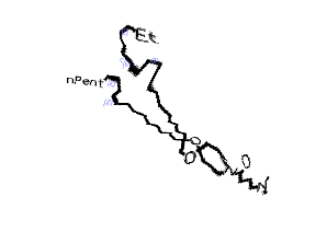 CC/C=C\C/C=C\C/C=C\CCCCCCCCC1(CCCCCCCC/C=C\C/C=C\CCCCC)COC2(CCN(C(=O)CCCN(C)C)CC2)O1